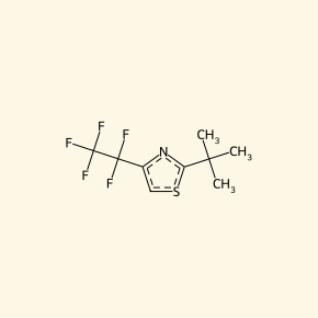 CC(C)(C)c1nc(C(F)(F)C(F)(F)F)cs1